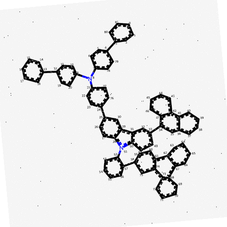 c1ccc(-c2ccc(N(c3ccc(-c4ccccc4)cc3)c3ccc(-c4ccc5c(c4)c4cc(-c6cc7ccccc7c7ccccc67)ccc4n5-c4ccccc4-c4ccc5c6ccccc6c6ccccc6c5c4)cc3)cc2)cc1